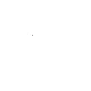 O=C1CC(C2CCCO2)CN1